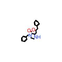 O=COC(Cc1ccccc1)CC1CN(Cc2ccccc2)CCN1